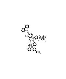 Cc1ccc(C(NCCCC[C@H](NC(=O)OCC2c3ccccc3-c3ccccc32)C(=O)Nc2ccc(O[Si](C)(C)C(C)(C)C)cc2)(c2ccccc2)c2ccccc2)cc1